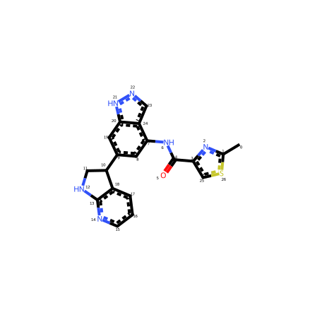 Cc1nc(C(=O)Nc2cc(C3CNc4ncccc43)cc3[nH]ncc23)cs1